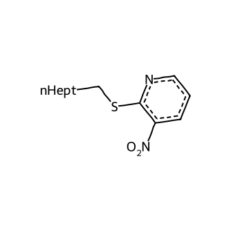 CCCCCCCCSc1ncccc1[N+](=O)[O-]